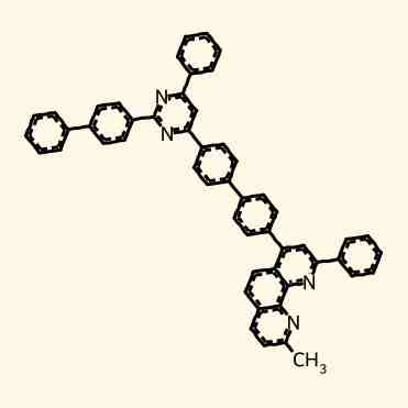 Cc1ccc2ccc3c(-c4ccc(-c5ccc(-c6cc(-c7ccccc7)nc(-c7ccc(-c8ccccc8)cc7)n6)cc5)cc4)cc(-c4ccccc4)nc3c2n1